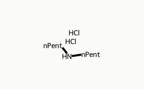 CCCCCNCCCCC.Cl.Cl